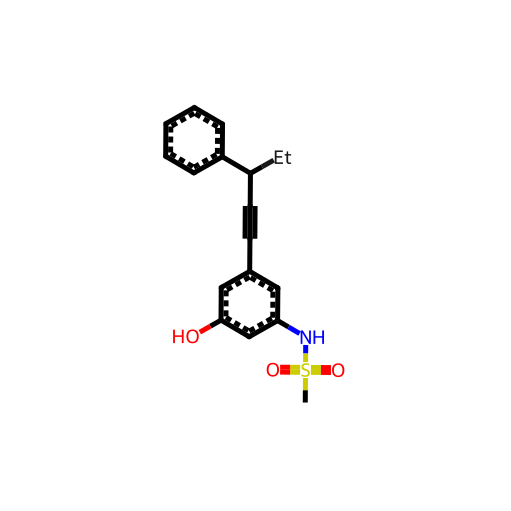 CCC(C#Cc1cc(O)cc(NS(C)(=O)=O)c1)c1ccccc1